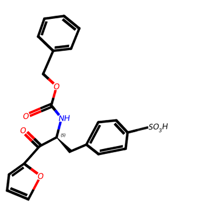 O=C(N[C@@H](Cc1ccc(S(=O)(=O)O)cc1)C(=O)c1ccco1)OCc1ccccc1